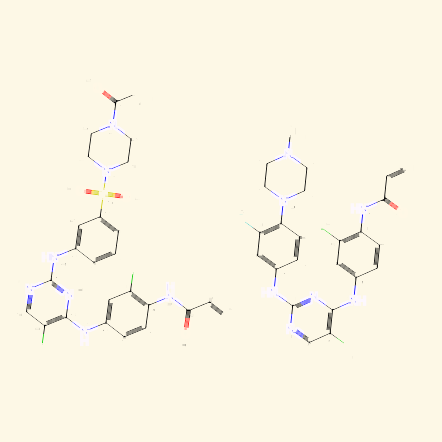 C=CC(=O)Nc1ccc(Nc2nc(Nc3ccc(N4CCN(C)CC4)c(F)c3)ncc2Cl)cc1Cl.C=CC(=O)Nc1ccc(Nc2nc(Nc3cccc(S(=O)(=O)N4CCN(C(C)=O)CC4)c3)ncc2Cl)cc1Cl